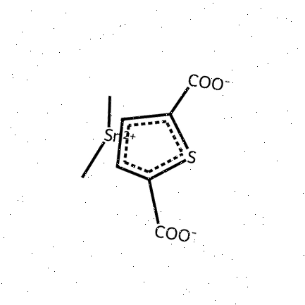 O=C([O-])c1ccc(C(=O)[O-])s1.[CH3][Sn+2][CH3]